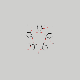 CC[Si]1(C(C)OC)O[Si](CC)(C(C)OC)O[Si](CC)(C(C)OC)O[Si](CC)(C(C)OC)O[Si](CC)(C(C)OC)O1